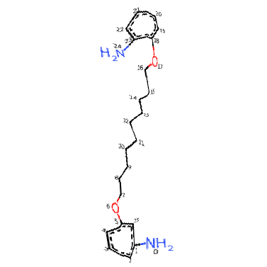 Nc1cccc(OCCCCCCCCCCOc2ccccc2N)c1